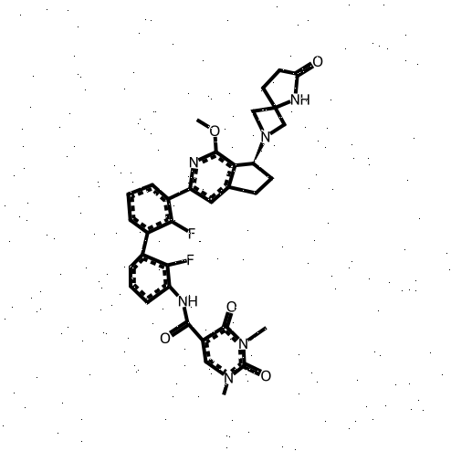 COc1nc(-c2cccc(-c3cccc(NC(=O)c4cn(C)c(=O)n(C)c4=O)c3F)c2F)cc2c1[C@@H](N1CC3(CCC(=O)N3)C1)CC2